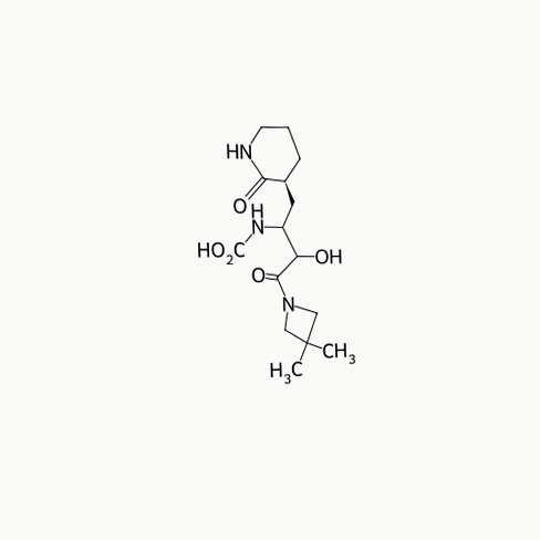 CC1(C)CN(C(=O)C(O)C(C[C@@H]2CCCNC2=O)NC(=O)O)C1